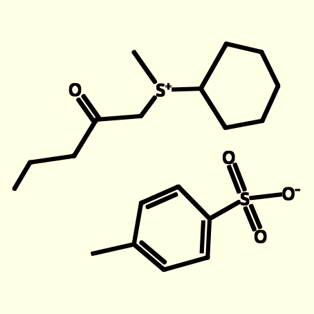 CCCC(=O)C[S+](C)C1CCCCC1.Cc1ccc(S(=O)(=O)[O-])cc1